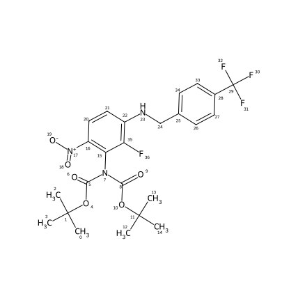 CC(C)(C)OC(=O)N(C(=O)OC(C)(C)C)c1c([N+](=O)[O-])ccc(NCc2ccc(C(F)(F)F)cc2)c1F